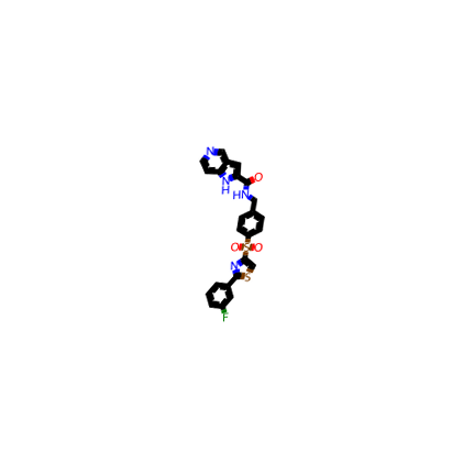 O=C(NCc1ccc(S(=O)(=O)c2csc(-c3cccc(F)c3)n2)cc1)c1cc2cnccc2[nH]1